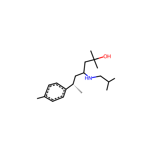 Cc1ccc([C@@H](C)CC(CC(C)(C)O)NCC(C)C)cc1